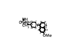 COc1ccc2c(N3CCC(CNS(C)(=N)=O)CC3)ccnc2c1